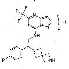 Fc1ccc(C(CNc2cc(C(F)(F)F)nc3cc(C(F)(F)F)nn23)N2CC3(CNC3)C2)cc1